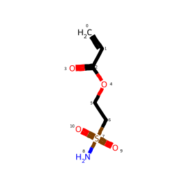 C=CC(=O)OCCS(N)(=O)=O